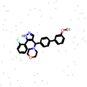 CCOc1cccc(-c2ccc(C(c3cn[nH]c3-c3ccccc3F)N3CCOCC3)cc2)c1